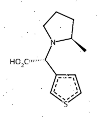 C[C@@H]1CCCN1[C@@H](C(=O)O)c1ccsc1